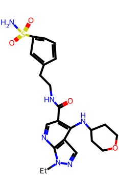 CCn1ncc2c(NC3CCOCC3)c(C(=O)NCCc3cccc(S(N)(=O)=O)c3)cnc21